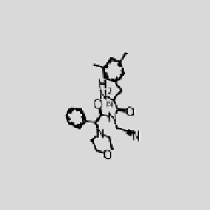 Cc1cc(C)cc(C[C@H](N)C(=O)N(CC#N)C(=O)C(c2ccccc2)N2CCOCC2)c1